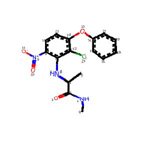 CNC(=O)C(C)Nc1c([N+](=O)[O-])ccc(Oc2ccccc2)c1Cl